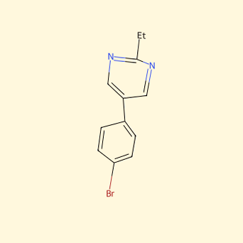 CCc1ncc(-c2ccc(Br)cc2)cn1